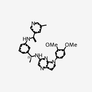 C=C(Nc1cccc([C@H](C)Nc2cnc3ccn(-c4ccc(OC)c(OC)c4)c3n2)c1)c1cncc(C)c1